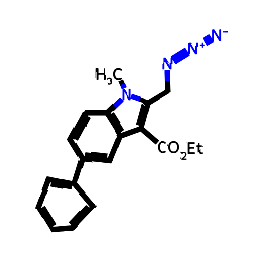 CCOC(=O)c1c(CN=[N+]=[N-])n(C)c2ccc(-c3ccccc3)cc12